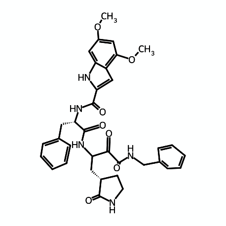 COc1cc(OC)c2cc(C(=O)N[C@@H](Cc3ccccc3)C(=O)NC(C[C@@H]3CCNC3=O)C(=O)C(=O)NCc3ccccc3)[nH]c2c1